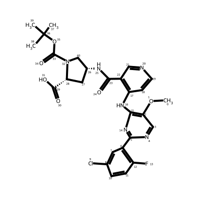 COc1cnc(-c2cc(Cl)ccc2F)nc1Nc1ccncc1C(=O)N[C@@H]1C[C@H](C(=O)O)N(C(=O)OC(C)(C)C)C1